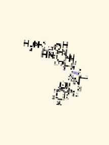 C=C(/C=C/c1cnc2c(c1)CC(NCCCN)C(=O)N2)N(C)Cc1oc2ccccc2c1C